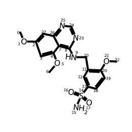 COc1cc(OC)c2c(NCc3cc(S(N)(=O)=O)ccc3OC)ncnc2c1